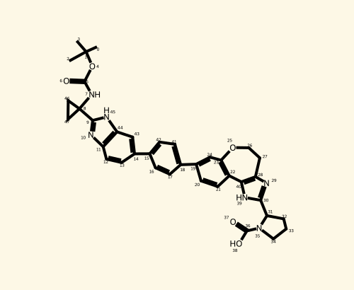 CC(C)(C)OC(=O)NC1(c2nc3ccc(-c4ccc(-c5ccc6c(c5)OCCc5nc(C7CCCN7C(=O)O)[nH]c5-6)cc4)cc3[nH]2)CC1